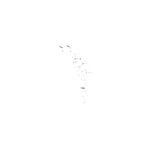 C[C@]12CC[C@H](NC(=O)NCCO)C[C@H]1CC[C@@H]1[C@@H]2CC[C@]2(C)[C@@H](C3C=CC(=O)OC3)CC[C@]12O